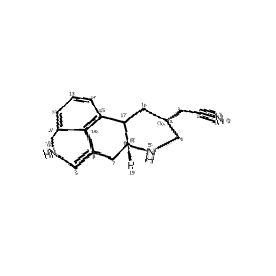 N#CC[C@H]1CN[C@@H]2Cc3c[nH]c4cccc(c34)C2C1